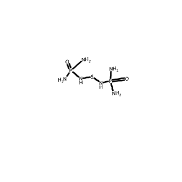 NP(N)(=O)NSNP(N)(N)=O